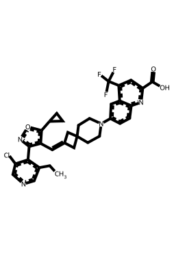 CCc1cncc(Cl)c1-c1noc(C2CC2)c1C=C1CC2(CCN(c3ccc4nc(C(=O)O)cc(C(F)(F)F)c4c3)CC2)C1